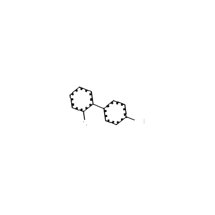 Nc1ccccc1-c1ccc(S)cc1